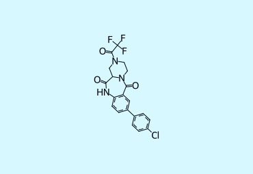 O=C1Nc2ccc(-c3ccc(Cl)cc3)cc2C(=O)N2CCN(C(=O)C(F)(F)F)CC12